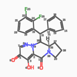 O=C1c2c(O)c(=O)cnn2C([C@H](c2ccccc2)c2cccc(F)c2F)[C@H]2CCCN12